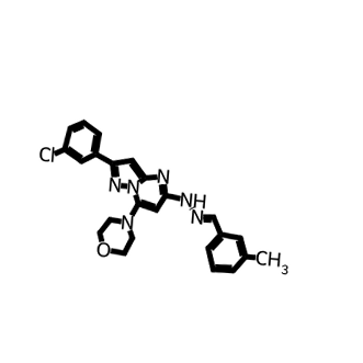 Cc1cccc(C=NNc2cc(N3CCOCC3)n3nc(-c4cccc(Cl)c4)cc3n2)c1